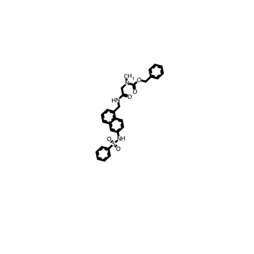 CN(CC(=O)NCc1cccc2cc(NS(=O)(=O)c3ccccc3)ccc12)C(=O)OCc1ccccc1